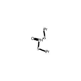 CC(C)S[PH](=O)SC(C)C